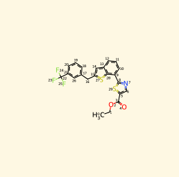 CCOC(=O)c1cnc(-c2cccc3cc(Cc4cccc(C(F)(F)F)c4)sc23)s1